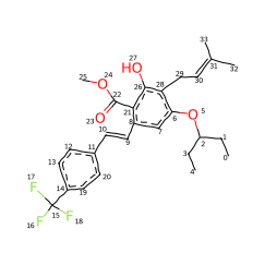 CCC(CC)Oc1cc(C=Cc2ccc(C(F)(F)F)cc2)c(C(=O)OC)c(O)c1CC=C(C)C